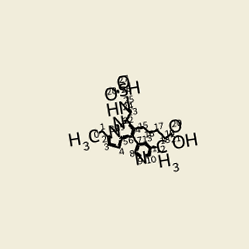 CCc1ccc2c(-c3cncc(C)c3)c(CCCCC(=O)O)c(CNC[SH](=O)=O)nn12